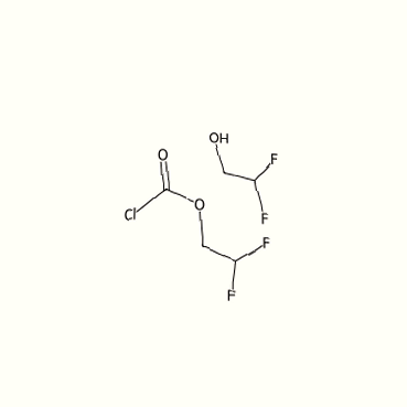 O=C(Cl)OCC(F)F.OCC(F)F